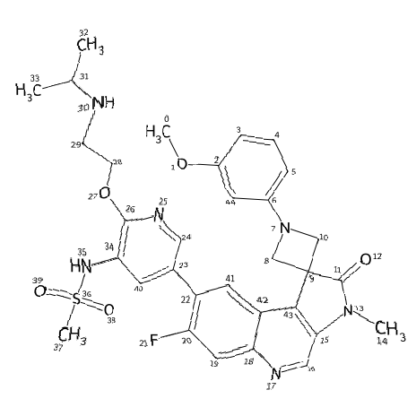 COc1cccc(N2CC3(C2)C(=O)N(C)c2cnc4cc(F)c(-c5cnc(OCCNC(C)C)c(NS(C)(=O)=O)c5)cc4c23)c1